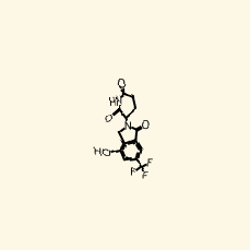 O=C1CCC(N2Cc3c(O)cc(C(F)(F)F)cc3C2=O)C(=O)N1